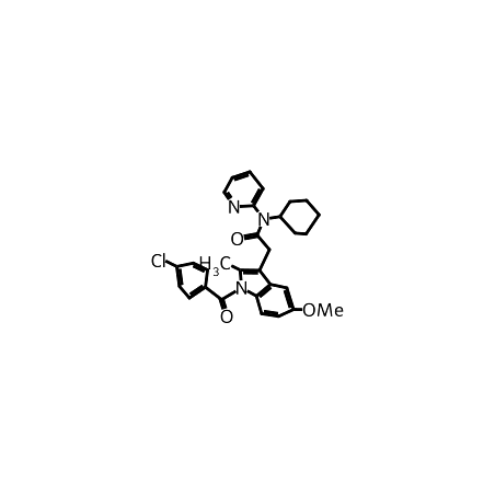 COc1ccc2c(c1)c(CC(=O)N(c1ccccn1)C1CCCCC1)c(C)n2C(=O)c1ccc(Cl)cc1